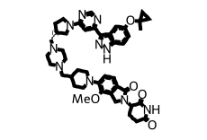 COc1c(N2CCC(CN3CCN(C[C@@H]4CCN(c5cc(-c6n[nH]c7ccc(OC8(C)CC8)cc67)ncn5)C4)CC3)CC2)ccc2c1CN(C1CCC(=O)NC1=O)C2=O